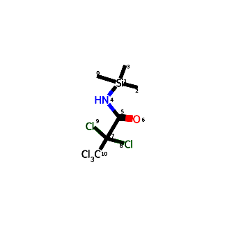 C[Si](C)(C)NC(=O)C(Cl)(Cl)C(Cl)(Cl)Cl